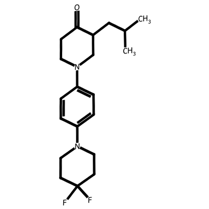 CC(C)CC1CN(c2ccc(N3CCC(F)(F)CC3)cc2)CCC1=O